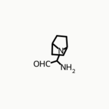 NC(C=O)N1C2CCC1CC2